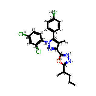 CCCC(C)c1nnc(-c2nn(-c3ccc(Cl)cc3Cl)c(-c3ccc(Br)cc3)c2C)o1